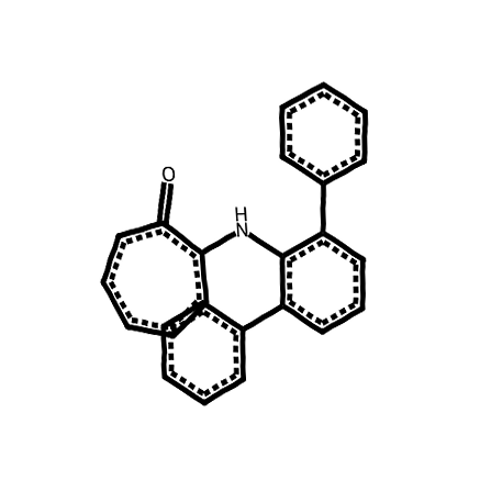 O=c1cccccc1Nc1c(-c2ccccc2)cccc1-c1ccccc1